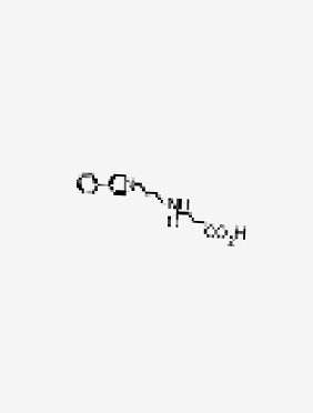 O=C(O)CCCC(=O)NCCCCN1C=CC(C2=CCC=CC2)=CC1